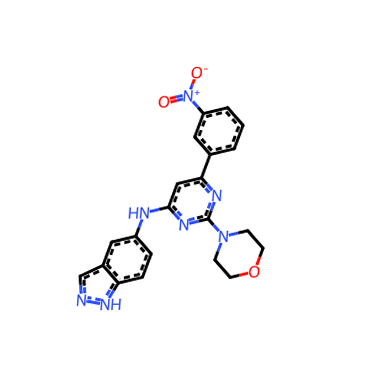 O=[N+]([O-])c1cccc(-c2cc(Nc3ccc4[nH]ncc4c3)nc(N3CCOCC3)n2)c1